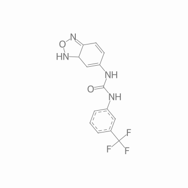 O=C(NC1=CC2NON=C2C=C1)Nc1cccc(C(F)(F)F)c1